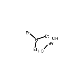 CCCO.CCN(CC)CC.Cl